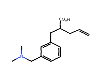 C=CCC(Cc1cccc(CN(C)C)c1)C(=O)O